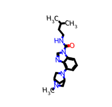 CC(C)CCNC(=O)n1cnc2c(N3CC4CC3CN4C)cccc21